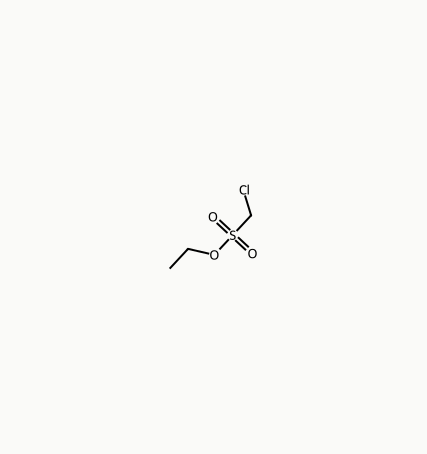 CCOS(=O)(=O)CCl